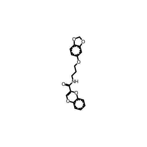 O=C(NCCCOc1ccc2c(c1)OCO2)C1=COc2ccccc2O1